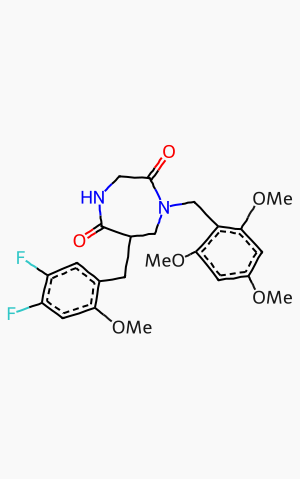 COc1cc(OC)c(CN2CC(Cc3cc(F)c(F)cc3OC)C(=O)NCC2=O)c(OC)c1